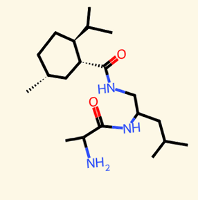 CC(C)CC(CNC(=O)[C@@H]1C[C@H](C)CC[C@H]1C(C)C)NC(=O)C(C)N